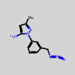 CC(C)(C)c1cc(N)n(-c2cccc(CN=[N+]=[N-])c2)n1